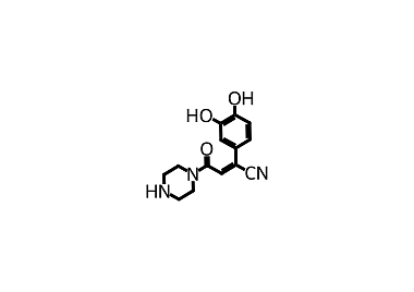 N#CC(=CC(=O)N1CCNCC1)c1ccc(O)c(O)c1